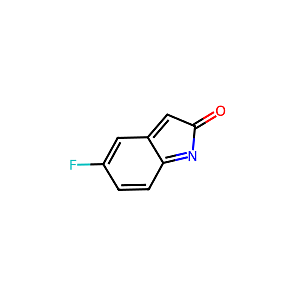 O=C1C=c2cc(F)ccc2=N1